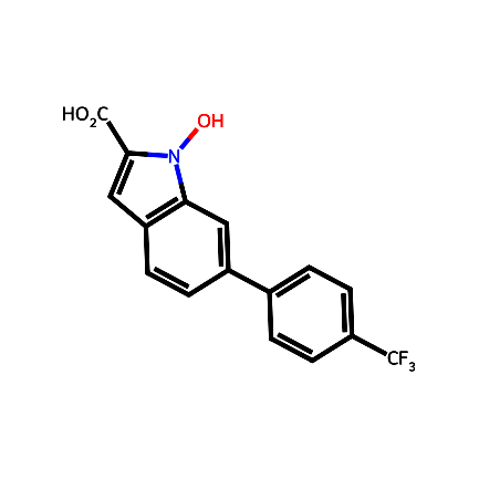 O=C(O)c1cc2ccc(-c3ccc(C(F)(F)F)cc3)cc2n1O